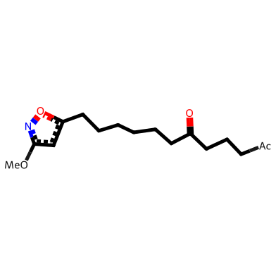 COc1cc(CCCCCCC(=O)CCCC(C)=O)on1